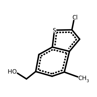 Cc1cc(CO)cc2sc(Cl)cc12